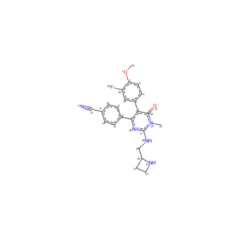 COc1ccc(-c2c(-c3ccc(C#N)cc3)nc(NCC3CCN3)n(C)c2=O)cc1F